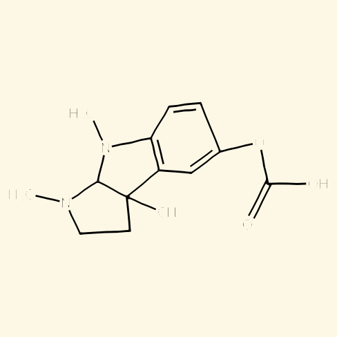 CN1CCC2(C)c3cc(OC(=O)O)ccc3N(C)C12